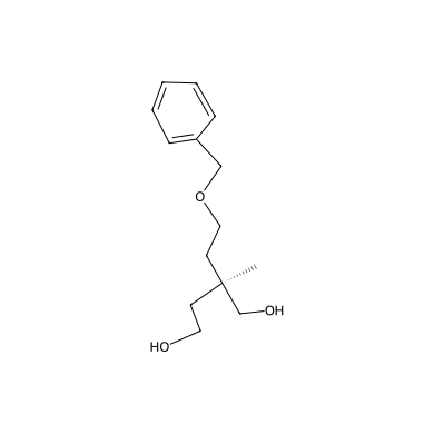 C[C@](CO)(CCO)CCOCc1ccccc1